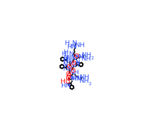 N=C(N)NCCC[C@H](NC(=O)[C@H](Cc1c[nH]c2ccccc12)NC(=O)[C@H](Cc1c[nH]c2ccccc12)NC(=O)[C@H](Cc1c[nH]c2ccccc12)NC(=O)[C@H](CCCNC(=N)N)NC(=O)[C@@H](N)CCCNC(=N)N)C(=O)N[C@@H](Cc1c[nH]c2ccccc12)C(=O)O